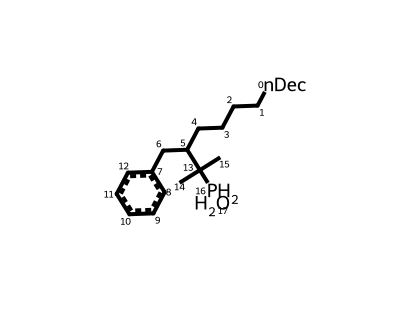 CCCCCCCCCCCCCCC(Cc1ccccc1)C(C)(C)P.O